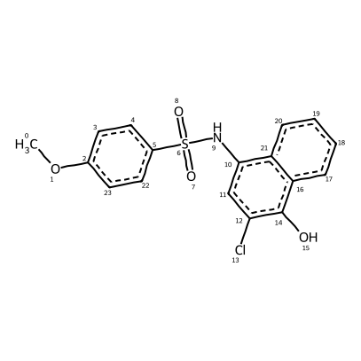 COc1ccc(S(=O)(=O)Nc2cc(Cl)c(O)c3ccccc23)cc1